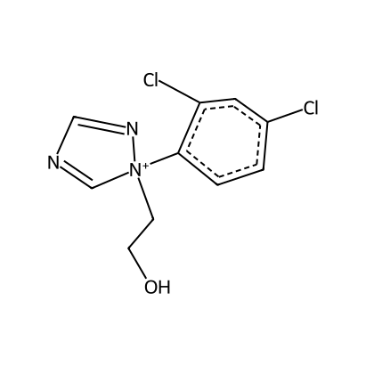 OCC[N+]1(c2ccc(Cl)cc2Cl)C=NC=N1